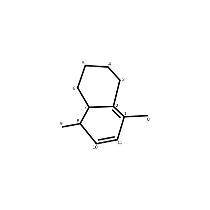 CC1=C2CCCCC2C(C)C=C1